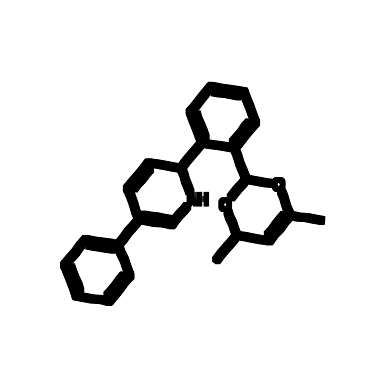 CC1=CC(C)OC(c2ccccc2C2C=CC(c3ccccc3)=CN2)O1